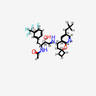 CC(=O)N[C@@H](Cc1ccc(F)c(C(F)(F)F)c1)[C@H](O)CN[C@H]1CC2(CCC2)Oc2ncc(CC(C)(C)C)cc21